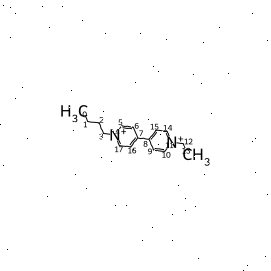 CCCC[n+]1ccc(-c2cc[n+](CC)cc2)cc1